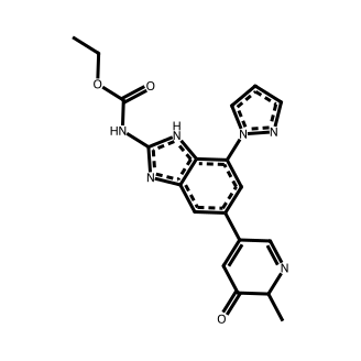 CCOC(=O)Nc1nc2cc(C3=CC(=O)C(C)N=C3)cc(-n3cccn3)c2[nH]1